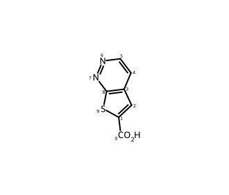 O=C(O)c1cc2ccnnc2s1